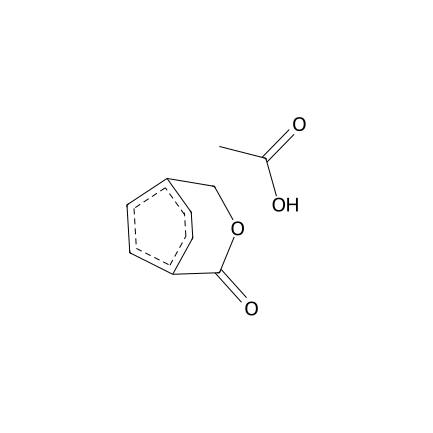 CC(=O)O.O=C1OCc2ccc1cc2